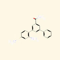 NC(=O)c1cc(-c2ccccc2)cc(-c2ccc(S(N)(=O)=O)cc2N)c1